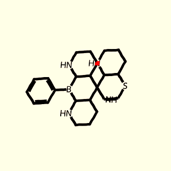 c1ccc(B2C3NCCCC3C3(C4CCCNC24)C2NCCCC2SC2CCCNC23)cc1